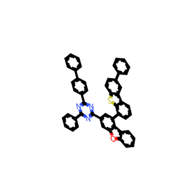 c1ccc(-c2ccc(-c3nc(-c4ccccc4)nc(-c4cc(-c5cccc6c5sc5ccc(-c7ccccc7)cc56)c5c(c4)oc4ccccc45)n3)cc2)cc1